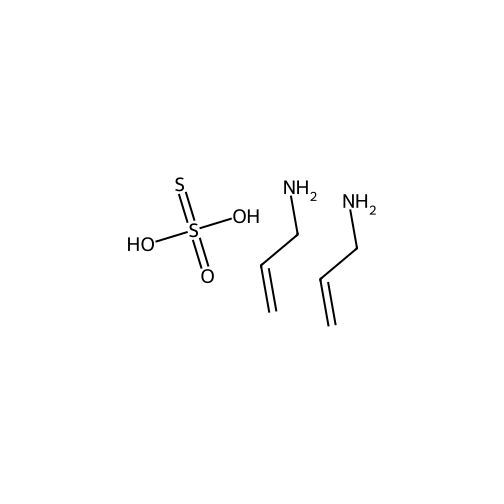 C=CCN.C=CCN.O=S(O)(O)=S